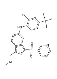 CNCc1cn(S(=O)(=O)c2cccnc2)c2cc(Nc3ccc(C(F)(F)F)nc3Cl)ccc12